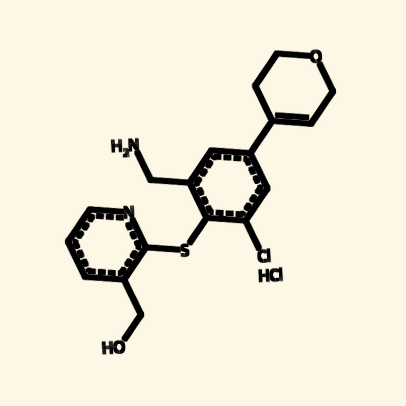 Cl.NCc1cc(C2=CCOCC2)cc(Cl)c1Sc1ncccc1CO